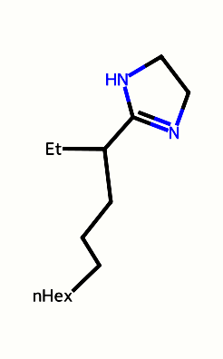 CCCCCCCCCC(CC)C1=NCCN1